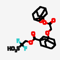 O=C(COC12CC3CC(C1)CC(C(=O)OCC(F)(F)S(=O)(=O)O)(C3)C2)OC12CC3CC(C1)C(=O)C(C3)C2